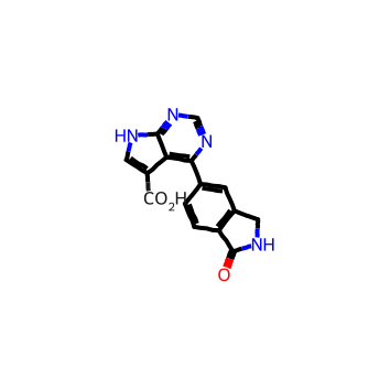 O=C1NCc2cc(-c3ncnc4[nH]cc(C(=O)O)c34)ccc21